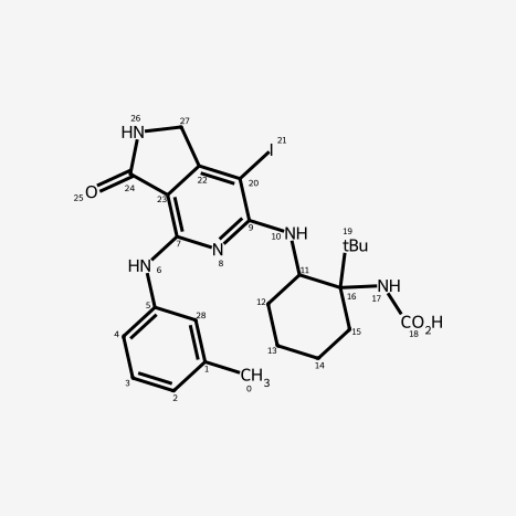 Cc1cccc(Nc2nc(NC3CCCCC3(NC(=O)O)C(C)(C)C)c(I)c3c2C(=O)NC3)c1